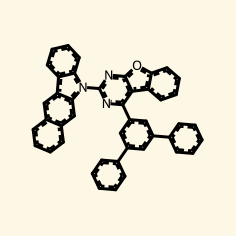 c1ccc(-c2cc(-c3ccccc3)cc(-c3nc(-n4c5ccccc5c5cc6ccccc6cc54)nc4oc5ccccc5c34)c2)cc1